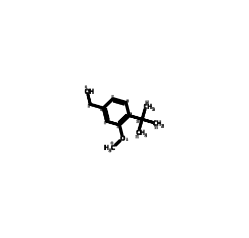 COc1cc([CH]O)ccc1C(C)(C)C